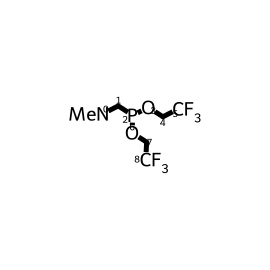 CNCP(OCC(F)(F)F)OCC(F)(F)F